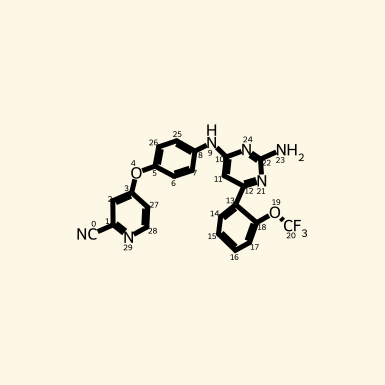 N#Cc1cc(Oc2ccc(Nc3cc(-c4ccccc4OC(F)(F)F)nc(N)n3)cc2)ccn1